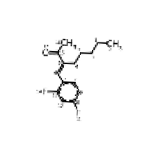 CCCCC/C(=C\c1ccc(F)cc1F)C(C)=O